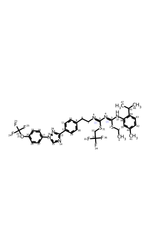 CCS/C(=N\C(=N\CCc1ccc(-c2ncn(-c3ccc(OC(F)(F)F)cc3)n2)cc1)SCC(F)(F)F)Nc1cc(C)ccc1C(C)C